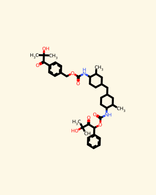 CC1CC(CC2CCC(NC(=O)OC(C(=O)C(C)(C)O)c3ccccc3)C(C)C2)CCC1NC(=O)OCc1ccc(C(=O)C(C)(C)O)cc1